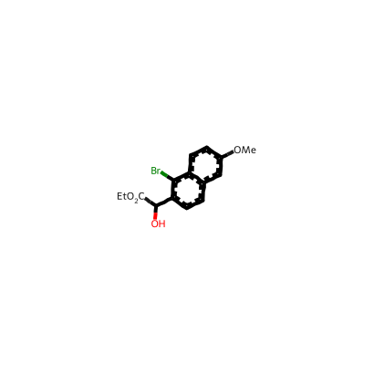 CCOC(=O)C(O)c1ccc2cc(OC)ccc2c1Br